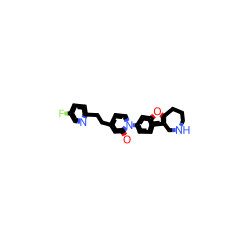 O=c1cc(CCc2ccc(F)cn2)ccn1-c1ccc2c3c(oc2c1)CCCNC3